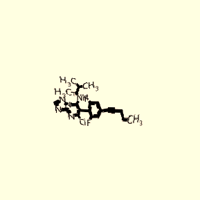 CCCC#Cc1cc(F)c(-c2c(Cl)nc3ncnn3c2N[C@H](C)C(C)C)c(F)c1